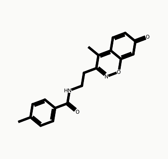 Cc1ccc(C(=O)NCCc2noc3cc(=O)ccc-3c2C)cc1